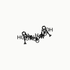 O=C1N(Cc2cn(CO[PH](=O)OCn3cc(CN4C(=O)C(O)(C#CC5CC5)c5ccccc54)nn3)nn2)c2ccccc2C1(O)C#CC1CC1